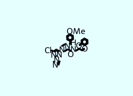 COc1ccc(CN2CCN(c3cc(Cl)nc(-n4ccnc4)n3)CC2C(=O)NCC2COc3ccccc3O2)cc1